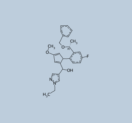 CCn1cc(C(O)C2=CC(OC)=CC2c2ccc(F)cc2[C@@H](C)OCc2ccccc2)cn1